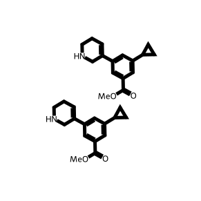 COC(=O)c1cc(C2=CCCNC2)cc(C2CC2)c1.COC(=O)c1cc(C2=CCCNC2)cc(C2CC2)c1